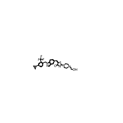 O=C1N=C(N2CCN(CCO)CC2)SC1=Cc1ccc2c(cnn2Cc2ccc(C3CC3)cc2C(F)(F)F)c1